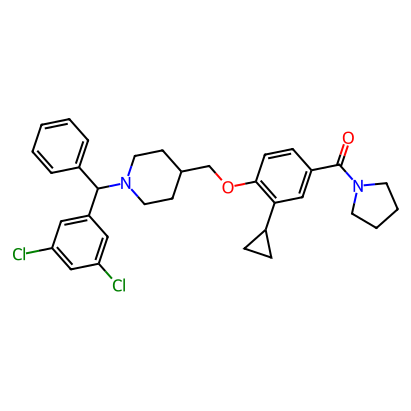 O=C(c1ccc(OCC2CCN(C(c3ccccc3)c3cc(Cl)cc(Cl)c3)CC2)c(C2CC2)c1)N1CCCC1